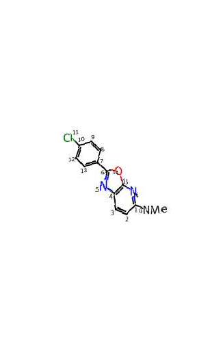 CNc1ccc2nc(-c3ccc(Cl)cc3)oc2n1